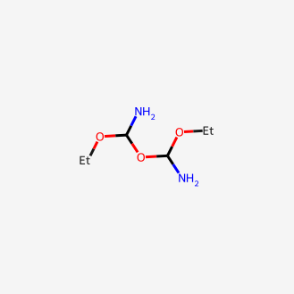 CCOC(N)OC(N)OCC